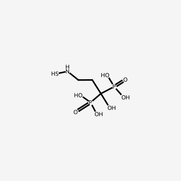 O=P(O)(O)C(O)(CCNS)P(=O)(O)O